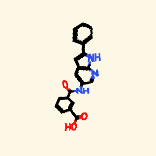 O=C(O)c1cccc(C(=O)Nc2cnc3[nH]c(-c4ccccc4)cc3c2)c1